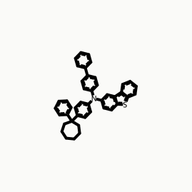 c1ccc(-c2ccc(N(c3ccc(C4(c5ccccc5)CCCCCC4)cc3)c3ccc4sc5ccccc5c4c3)cc2)cc1